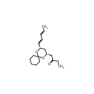 CC=CC=C[C@H]1C[C@@H](CC(=O)OC)OC2(CCCCC2)O1